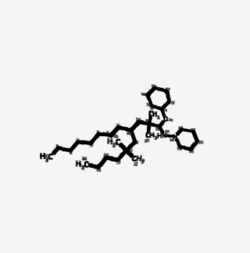 CCCCCCCCC(CC(C)(C)CCCC)CC(C)(C)C(NN1CCCCC1)OC1CCCCC1